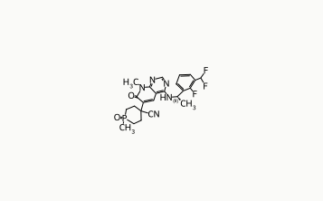 C[C@@H](Nc1ncnc2c1cc(C1(C#N)CCP(C)(=O)CC1)c(=O)n2C)c1cccc(C(F)F)c1F